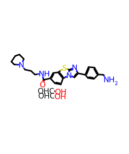 NCc1ccc(-c2cn3c(n2)sc2cc(C(=O)NCCCN4CCCCC4)ccc23)cc1.O=CO.O=CO